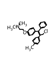 Cc1ccc(/C(CCl)=C(/c2ccccc2)c2ccc(OCCN(C)C)cc2)cc1